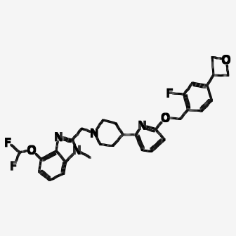 Cn1c(CN2CCC(c3cccc(OCc4ccc(C5COC5)cc4F)n3)CC2)nc2c(OC(F)F)cccc21